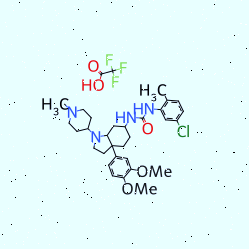 COc1ccc(C23CCC(NC(=O)Nc4cc(Cl)ccc4C)CC2N(C2CCN(C)CC2)CC3)cc1OC.O=C(O)C(F)(F)F